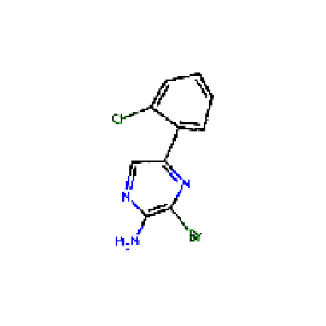 Nc1ncc(-c2ccccc2Cl)nc1Br